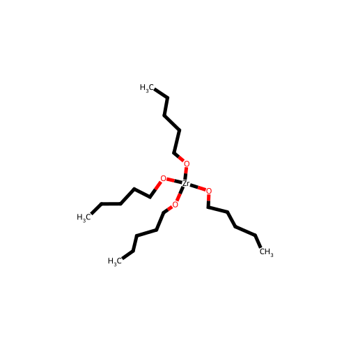 CCCCC[O][Zr]([O]CCCCC)([O]CCCCC)[O]CCCCC